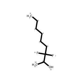 CCCCCCC(F)(F)C(C)O